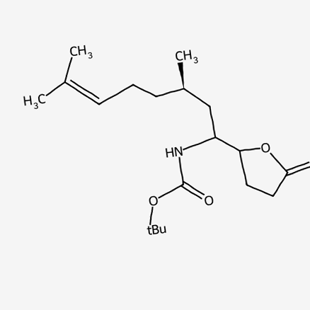 CC(C)=CCC[C@@H](C)CC(NC(=O)OC(C)(C)C)C1CCC(=O)O1